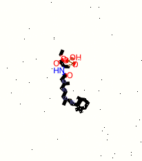 CCOC(=O)C(CS(=O)(=O)O)NC(=O)/C=C(C)/C=C/C=C(C)\C=C\C1=C(C)CCCC1(C)C